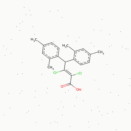 Cc1ccc(C(/C(Cl)=C(\Cl)C(=O)O)c2ccc(C)cc2C)c(C)c1